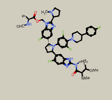 CCCN(C(=O)C(NC)C(C)OC)c1nc2cc(F)c(C3CC[C@H](c4cc5nc(C6CCCN6C)n(COC(=O)C(NC=O)C(C)C)c5cc4F)N3c3cc(F)c(N4CCC(c5ccc(F)cc5)CC4)c(F)c3)cc2[nH]1